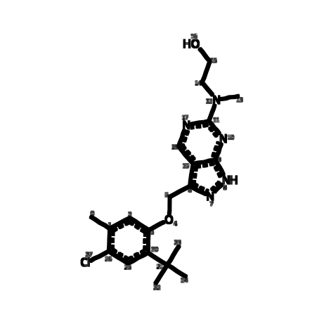 Cc1cc(OCc2n[nH]c3nc(N(C)CCO)ncc23)c(C(C)(C)C)cc1Cl